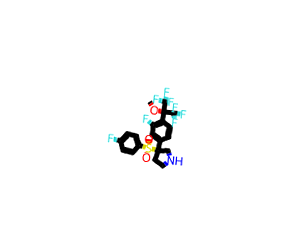 COC(c1ccc(C2(S(=O)(=O)c3ccc(F)cc3)CCNC2)cc1F)(C(F)(F)F)C(F)(F)F